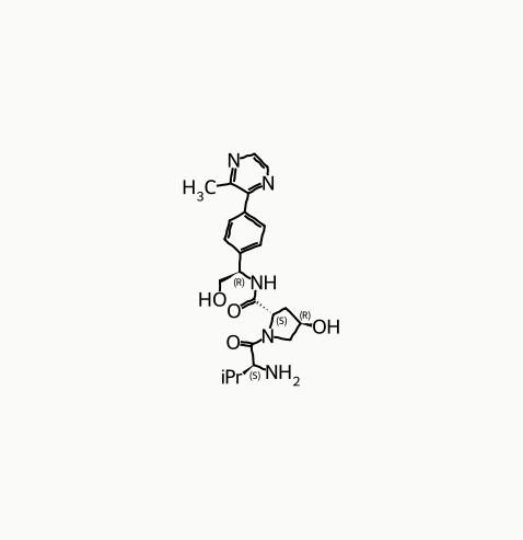 Cc1nccnc1-c1ccc([C@H](CO)NC(=O)[C@@H]2C[C@@H](O)CN2C(=O)[C@@H](N)C(C)C)cc1